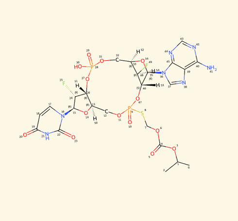 CC(C)OC(=O)OCSP1(=O)OC[C@H]2O[C@@H](n3ccc(=O)[nH]c3=O)[C@H](F)[C@@H]2OP(=O)(O)OC[C@H]2O[C@@H](n3cnc4c(N)ncnc43)[C@H](O1)[C@@H]2F